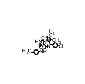 CCc1ccc(NC(=O)CC2N=C(c3ccc(Cl)cc3)c3c(sc(C)c3C)N(C(C)=N)C2=N)cc1